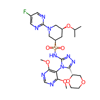 COc1ncnc(OC)c1-n1c(NS(=O)(=O)[C@@H]2C[C@H](OC(C)C)CN(c3ncc(F)cn3)C2)nnc1[C@@H]1COCCO1